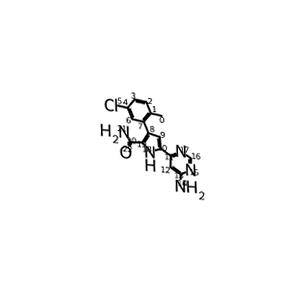 Cc1ccc(Cl)cc1-c1cc(-c2cc(N)ncn2)[nH]c1C(N)=O